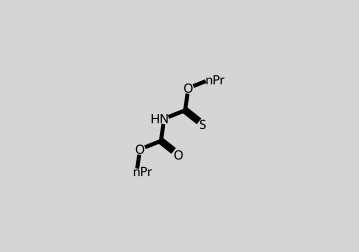 CCCOC(=O)NC(=S)OCCC